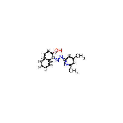 Cc1cc(C)nc(N=Nc2c(O)ccc3ccccc23)c1